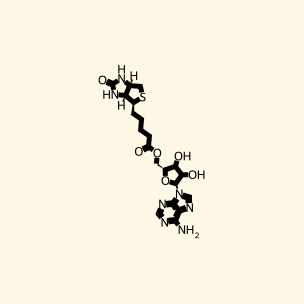 Nc1ncnc2c1ncn2[C@@H]1O[C@H](COC(=O)CCCC[C@@H]2SC[C@@H]3NC(=O)N[C@@H]32)C(O)C1O